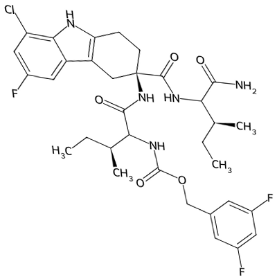 CC[C@H](C)C(NC(=O)[C@@]1(NC(=O)C(NC(=O)OCc2cc(F)cc(F)c2)[C@@H](C)CC)CCc2[nH]c3c(Cl)cc(F)cc3c2C1)C(N)=O